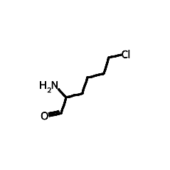 NC(C=O)CCCCCl